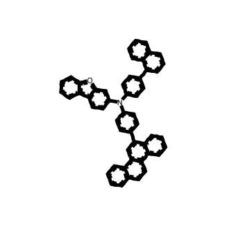 c1ccc2c(-c3ccc(N(c4ccc(-c5cc6c7ccccc7ccc6c6ccccc56)cc4)c4ccc5c(c4)oc4ccccc45)cc3)cccc2c1